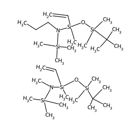 C=C[Si](C)(O[Si](C)(C)C(C)(C)C)N(C)[Si](C)(C)C.C=C[Si](C)(O[Si](C)(C)C(C)(C)C)N(CCC)[Si](C)(C)C